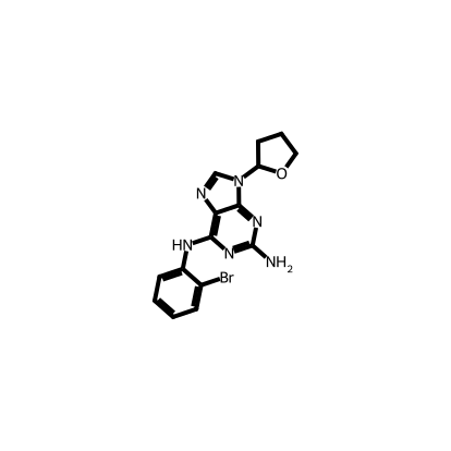 Nc1nc(Nc2ccccc2Br)c2ncn(C3CCCO3)c2n1